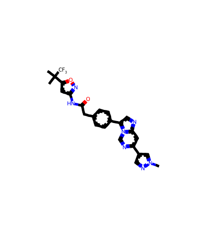 Cn1cc(-c2cc3ncc(-c4ccc(CC(=O)Nc5cc(C(C)(C)C(F)(F)F)on5)cc4)n3cn2)cn1